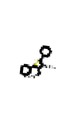 COCC1C(C=O)=C(C2CCCCC2)SC1c1ccccc1